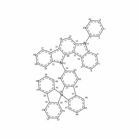 c1ccc(-n2c3ccccc3c3c2ccc2c4ccccc4n(-c4ccc5c(c4)[Si]4(c6ccccc6-c6ccccc64)c4ccccc4-5)c23)cc1